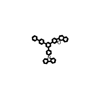 c1ccc(-c2ccc(-c3cc(-c4ccc(-n5c6ccccc6c6ccccc65)cc4)cc(-c4ccc5c(c4)oc4c6ccccc6ccc54)c3)cc2)cc1